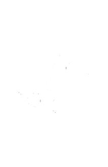 N#CC(=Cc1ccc(C=C(C#N)c2ccc([N+](=O)[O-])cc2)cc1)c1ccc([N+](=O)[O-])cc1